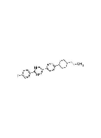 CCCC1CCC(c2ccc(-c3cnc(-c4ccc(F)cc4)nc3)cc2)CC1